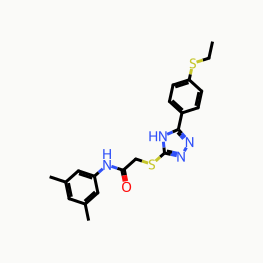 CCSc1ccc(-c2nnc(SCC(=O)Nc3cc(C)cc(C)c3)[nH]2)cc1